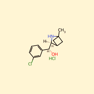 CC12CC(C1)[C@@H]([C@H](O)c1cccc(Cl)c1)N2.Cl